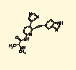 CNC(C)C(=O)Nc1ccc(-c2cncnc2)c(C#Cc2ccc3[nH]cnc3c2)n1